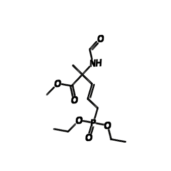 CCOP(=O)(C/C=C/C(C)(NC=O)C(=O)OC)OCC